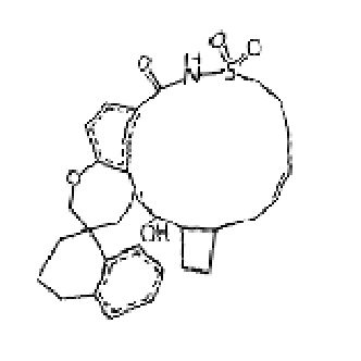 O=C1NS(=O)(=O)CCCC=CCC2CCC2C(O)N2CC3(CCCc4ccccc43)COc3ccc1cc32